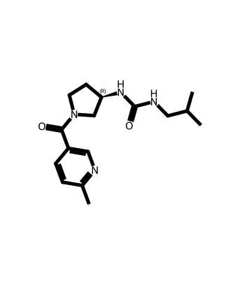 Cc1ccc(C(=O)N2CC[C@@H](NC(=O)NCC(C)C)C2)cn1